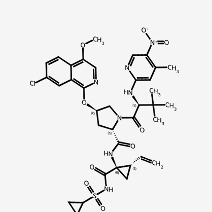 C=C[C@@H]1C[C@]1(NC(=O)[C@@H]1C[C@@H](Oc2ncc(OC)c3ccc(Cl)cc23)CN1C(=O)[C@@H](Nc1cc(C)c([N+](=O)[O-])cn1)C(C)(C)C)C(=O)NS(=O)(=O)C1CC1